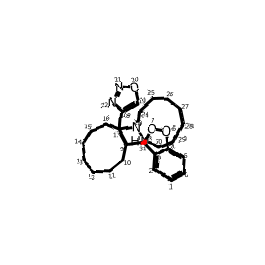 c1ccc2c(c1)OOC2C1CCCCCCCC1(c1conn1)N1CCCCCCCN1